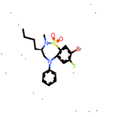 CCCC[C@@H]1CN(c2ccccc2)c2cc(F)c(Br)cc2S(=O)(=O)N1C